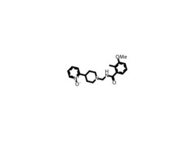 COc1cccc(C(=O)NCN2CCC(c3cccc[n+]3[O-])CC2)c1C